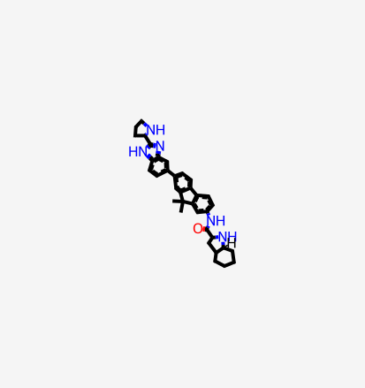 CC1(C)c2cc(NC(=O)C3CC4CCCC[C@@H]4N3)ccc2-c2ccc(-c3ccc4[nH]c(C5CCCN5)nc4c3)cc21